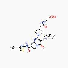 CC(C)(C)c1csc(NC(=O)c2ccn3c(=O)c(/C=C/C(=O)O)c(N4CCC(CC(=O)NCCO)CC4)nc3c2)n1